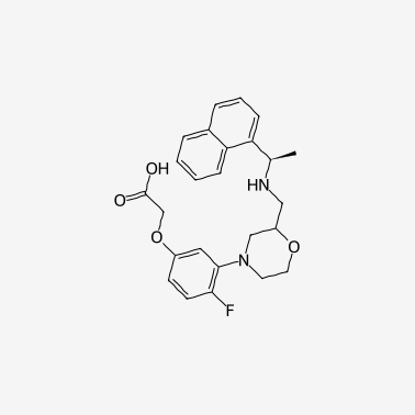 C[C@@H](NCC1CN(c2cc(OCC(=O)O)ccc2F)CCO1)c1cccc2ccccc12